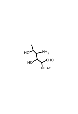 CC(=O)NC(C=O)C(O)C(N)C(C)O